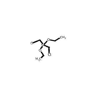 CCO[Si](CCl)(CCl)OCC